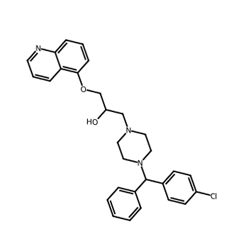 OC(COc1cccc2ncccc12)CN1CCN(C(c2ccccc2)c2ccc(Cl)cc2)CC1